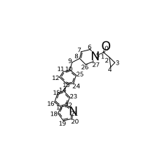 O=C(C1CC1)N1CC=C(Cc2ccc(-c3ccc4cccnc4c3)cc2)CC1